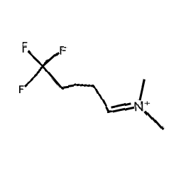 C[N+](C)=CCCC(F)(F)F